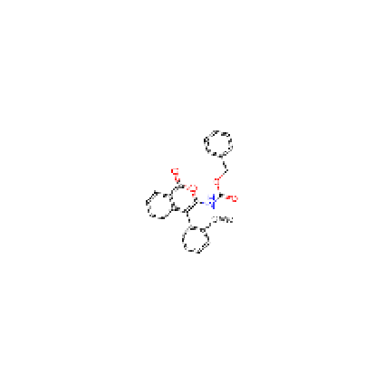 COc1ccccc1-c1c(NC(=O)OCc2ccccc2)oc(=O)c2ccccc12